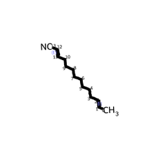 C/C=C/CCCCCCCC/C=C/C#N